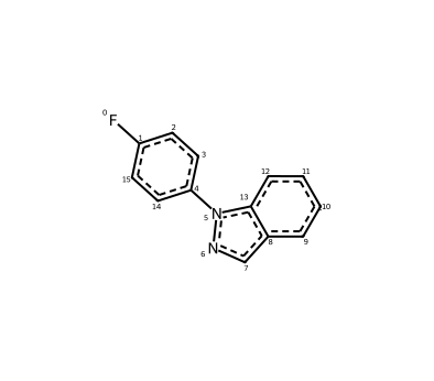 Fc1ccc(-n2ncc3c[c]ccc32)cc1